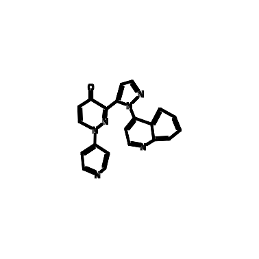 O=c1ccn(-c2ccncc2)nc1-c1ccnn1-c1ccnc2ccccc12